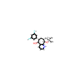 CC(C)[Si](O[C@@H]1CC[C@@H](c2cc(F)cc(F)c2)[C@H](O)c2cccnc21)(C(C)C)C(C)C